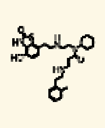 Cc1ccccc1CCNCCC(=O)N(CCNCCc1ccc(O)c2[nH]c(=O)sc12)C1CCCCC1